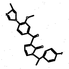 COc1cc(C(=O)c2cccn(C(C)c3ccc(F)cc3)c2=O)ccc1-n1cnc(C)c1